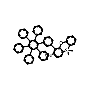 CC(C)(C)c1ccc2c(c1-c1cccc(-c3c(-c4ccccc4)c(-c4ccccc4)c(-c4ccccc4)c(-c4ccccc4)c3-c3ccccc3)c1)Oc1ccccc1[Si]2(C)C